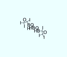 IC1(I)OC1(I)BOBOBC1(I)OC1(I)I